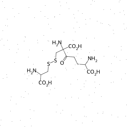 NC(CCC(=O)C(N)(CSSCC(N)C(=O)O)C(=O)O)C(=O)O